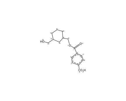 O=C(O)c1ccc(C(=O)OCC2CCCC(CO)C2)cc1